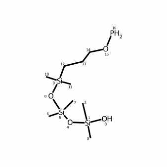 C[Si](C)(O)O[Si](C)(C)O[Si](C)(C)CCCOP